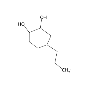 [CH2]CCC1CCC(O)C(O)C1